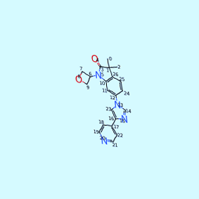 CC1(C)C(=O)N(C2COC2)c2cc(-n3cnc(-c4ccncc4)c3)ccc21